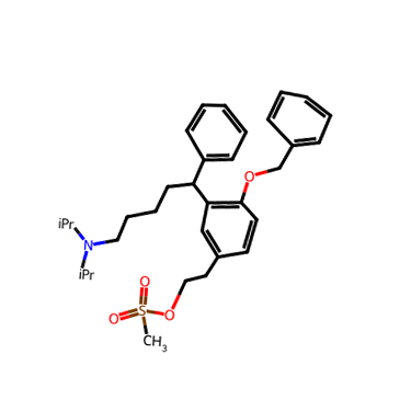 CC(C)N(CCCCC(c1ccccc1)c1cc(CCOS(C)(=O)=O)ccc1OCc1ccccc1)C(C)C